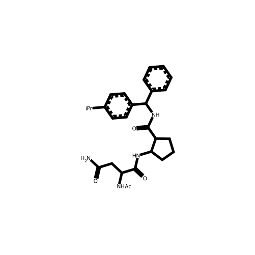 CC(=O)NC(CC(N)=O)C(=O)NC1CCCC1C(=O)NC(c1ccccc1)c1ccc(C(C)C)cc1